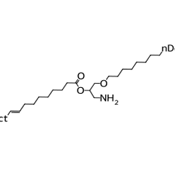 CCCCCCCCC=CCCCCCCCC(=O)OC(CN)COCCCCCCCCCCCCCCCCCC